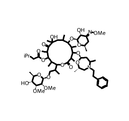 CON=C1C[C@@H](C)O[C@@H](OC2C(C)CC(C)(O)C(=O)C(C)C(OC(=O)CC(C)C)C(C)C(C(C)CO[C@@H]3O[C@H](C)[C@@H](O)[C@@H](OC)[C@H]3OC)OC(=O)C(C)C(O[C@H]3CC(C)N(CCc4ccccc4)C[C@H](C)O3)C2C)[C@@H]1O